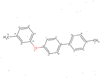 Cc1ccc(-c2ccc(Oc3cccc(C)c3)cc2)cc1